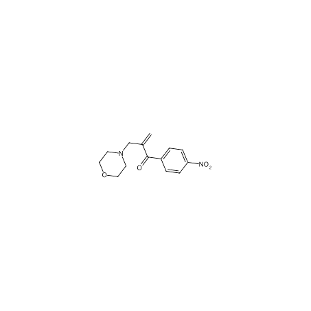 C=C(CN1CCOCC1)C(=O)c1ccc([N+](=O)[O-])cc1